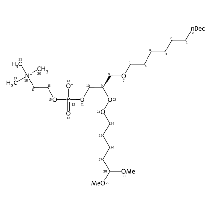 CCCCCCCCCCCCCCCCOC[C@H](COP(=O)([O-])OCC[N+](C)(C)C)OOCCCCC(OC)OC